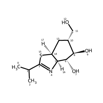 CC(C)C1=N[C@@H]2[C@@H](O)[C@H](O)[C@@H](CO)C[C@@H]2S1